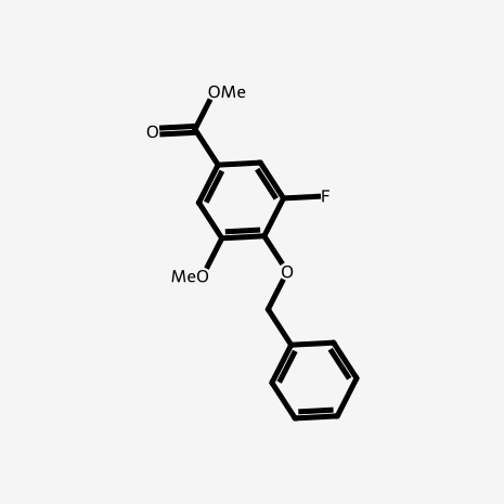 COC(=O)c1cc(F)c(OCc2ccccc2)c(OC)c1